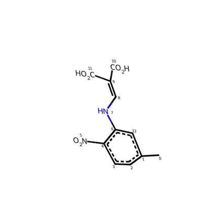 Cc1ccc([N+](=O)[O-])c(NC=C(C(=O)O)C(=O)O)c1